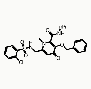 CCCNC(=O)c1c(OCc2ccccc2)c(=O)cc(CNS(=O)(=O)c2ccccc2Cl)n1C